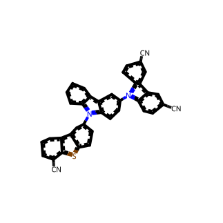 N#Cc1ccc2c(c1)c1cc(C#N)ccc1n2-c1ccc2c(c1)c1ccccc1n2-c1ccc2sc3c(C#N)cccc3c2c1